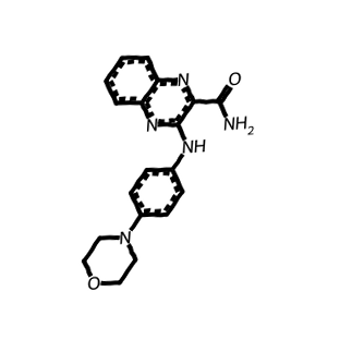 NC(=O)c1nc2ccccc2nc1Nc1ccc(N2CCOCC2)cc1